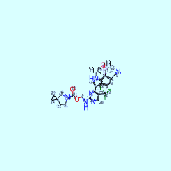 CP(C)(=O)c1c(C#N)ccc2c(-c3nc(NCOC(=O)N4CCC5(CC5)C4)ncc3C(F)(F)F)c[nH]c12